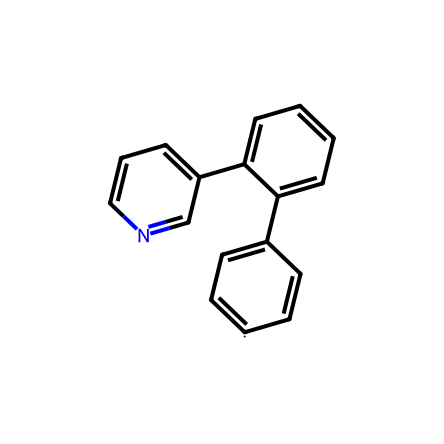 [c]1ccc(-c2ccccc2-c2cccnc2)cc1